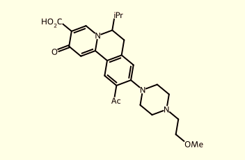 COCCN1CCN(c2cc3c(cc2C(C)=O)-c2cc(=O)c(C(=O)O)cn2C(C(C)C)C3)CC1